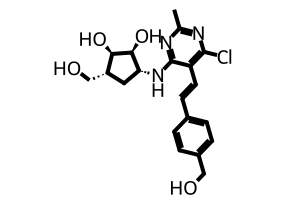 Cc1nc(Cl)c(/C=C/c2ccc(CO)cc2)c(N[C@@H]2C[C@H](CO)[C@@H](O)[C@H]2O)n1